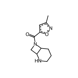 Cc1cc(C(=O)N2CC3NCCCC32)on1